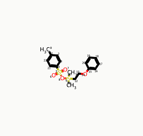 Cc1ccc(S(=O)(=O)OS(C)(C)CCOc2ccccc2)cc1